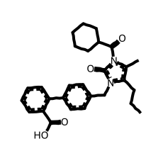 CCCc1c(C)n(C(=O)C2CCCCC2)c(=O)n1Cc1ccc(-c2ccccc2C(=O)O)cc1